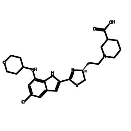 O=C(O)C1CCCN(CC[C@@H]2CSC(c3cc4cc(Cl)cc(NC5CCOCC5)c4[nH]3)=N2)C1